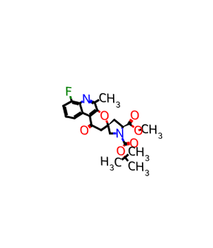 COC(=O)[C@@H]1C[C@]2(CC(=O)c3c(c(C)nc4c(F)cccc34)O2)CN1C(=O)OC(C)(C)C